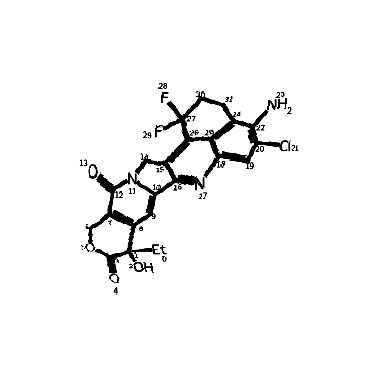 CC[C@@]1(O)C(=O)OCc2c1cc1n(c2=O)Cc2c-1nc1cc(Cl)c(N)c3c1c2C(F)(F)CC3